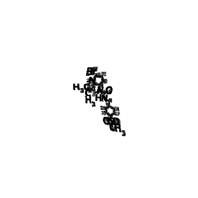 CC1(C)CN(C(=O)NCc2ccc(S(C)(=O)=O)cc2)c2ccc(Br)nc21